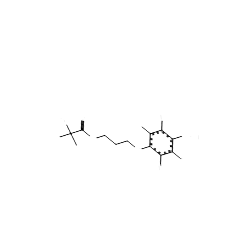 CCC(C)(C)C(=O)OCCCOc1c(F)c(F)c(S(=O)(=O)O)c(F)c1F